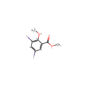 COC(=O)c1cc(I)cc(I)c1OC